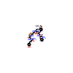 NC(=O)C(CCc1ccc(O)cc1)NCC(=O)[C@H](CS)NC(=O)CCC(=O)N[C@@H](CC(=O)O)C(=O)N[C@@H](Cc1ccc(OS(=O)(=O)O)cc1)C(=O)CN[C@@H](Cc1ccccc1)C(N)=O